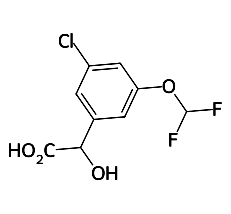 O=C(O)C(O)c1cc(Cl)cc(OC(F)F)c1